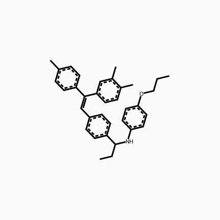 CCCOc1ccc(NC(CC)c2ccc(C=C(c3ccc(C)cc3)c3ccc(C)c(C)c3)cc2)cc1